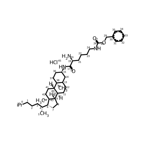 CC(C)CCC[C@@H](C)[C@H]1CC[C@H]2[C@@H]3CCC4C[C@H](NC(=O)[C@@H](N)CCCCNC(=O)OCc5ccccc5)CC[C@]4(C)[C@H]3CC[C@]12C.Cl